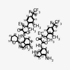 CCN(C(=O)C(=O)Nc1cnc(N)c2cn[nH]c12)C(C)c1ccc(C(F)(F)C(F)(F)F)cc1C.CCN(C(=O)C(=O)Nc1cnc(N)c2cnn(C3CCCCO3)c12)C(C)c1ccc(C(F)(F)C(F)(F)F)cc1C